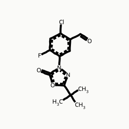 CC(C)(C)c1nn(-c2cc(C=O)c(Cl)cc2F)c(=O)o1